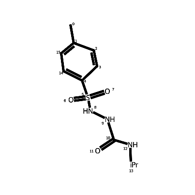 Cc1ccc(S(=O)(=O)NNC(=O)NC(C)C)cc1